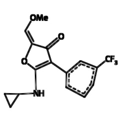 COC=C1OC(NC2CC2)=C(c2cccc(C(F)(F)F)c2)C1=O